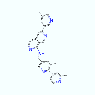 Cc1cncc(-c2cc3ccnc(NCc4cnc(-c5ccnc(C)c5)c(C)c4)c3cn2)c1